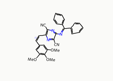 COc1cc(/C=C\c2nc(C#N)c(N=C(c3ccccc3)c3ccccc3)nc2C#N)cc(OC)c1OC